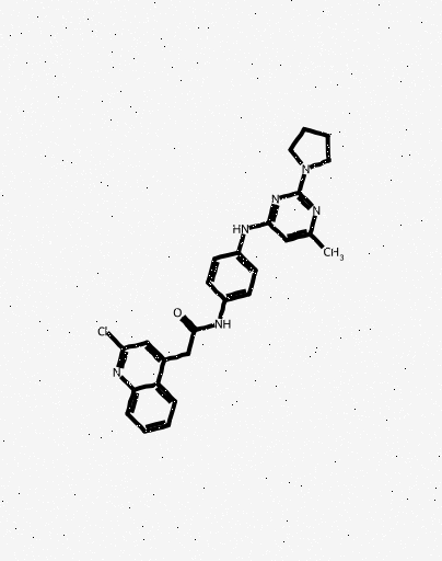 Cc1cc(Nc2ccc(NC(=O)Cc3cc(Cl)nc4ccccc34)cc2)nc(N2CCCC2)n1